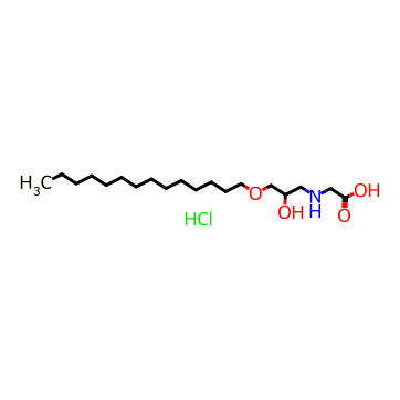 CCCCCCCCCCCCCCOCC(O)CNCC(=O)O.Cl